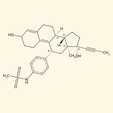 CC#C[C@]1(O)CC[C@H]2[C@@H]3CCC4=CC(O)CCC4=C3[C@@H](c3ccc(NS(C)(=O)=O)cc3)C[C@@]21C